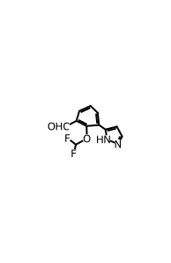 O=Cc1cccc(-c2ccn[nH]2)c1OC(F)F